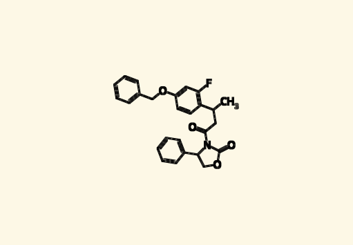 CC(CC(=O)N1C(=O)OCC1c1ccccc1)c1ccc(OCc2ccccc2)cc1F